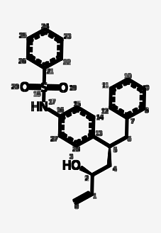 C=C[C@@H](O)C[C@H](Cc1c[c]ccc1)c1ccc(NS(=O)(=O)c2ccccc2)cc1